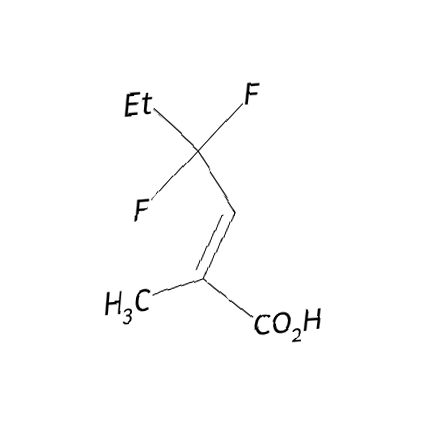 CCC(F)(F)/C=C(\C)C(=O)O